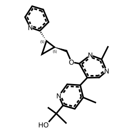 Cc1ncc(-c2cnc(C(C)(C)O)cc2C)c(OC[C@H]2C[C@@H]2c2ccccn2)n1